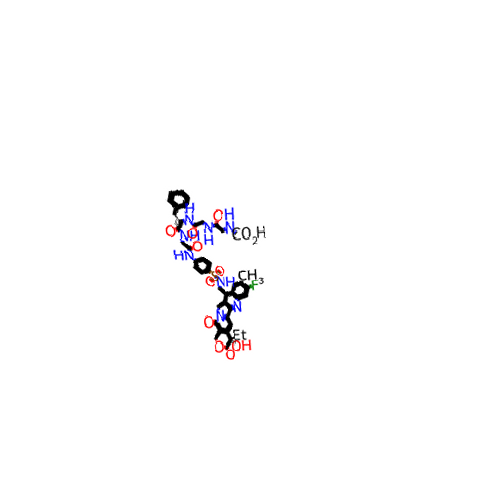 CC[C@@]1(O)C(=O)OCc2c1cc1n(c2=O)Cc2c-1nc1cc(F)c(C)cc1c2CNS(=O)(=O)c1ccc(NC(=O)CNC(=O)[C@H](Cc2ccccc2)NC(=O)CNC(=O)CNC(=O)O)cc1